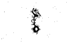 C(=NOCCc1ccccc1)c1cncnc1